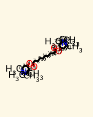 CC1CC(OC(=O)CCCCCCCCC(=O)OC2CC(C)N(C)C(C)(C)C2)CC(C)(C)N1C